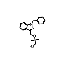 CC(C)(C[O])OCc1nn(Cc2ccccc2)c2ccccc12